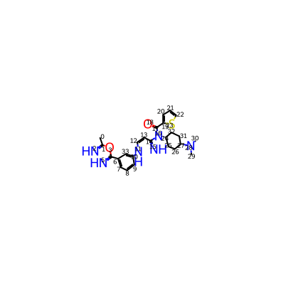 CC(=N)OC(=N)c1cccc(N/C=C\C(=N)N(C(=O)c2cccs2)[C@H]2CC[C@H](N(C)C)CC2)c1